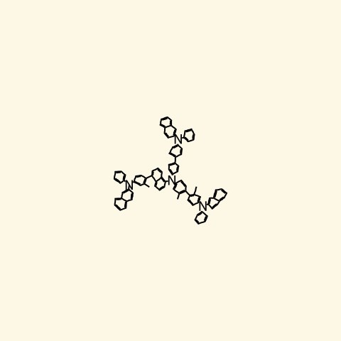 Cc1cc(N(c2ccccc2)c2ccc3ccccc3c2)ccc1-c1ccc(N(c2ccc(-c3ccc(N(c4ccccc4)c4ccc5ccccc5c4)cc3)cc2)c2cccc3c(-c4ccc(N(c5ccccc5)c5ccc6ccccc6c5)cc4C)cccc23)cc1C